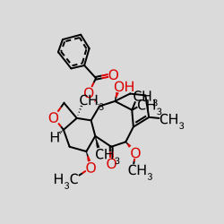 CO[C@H]1C(=O)[C@@]2(C)C([C@H](OC(=O)c3ccccc3)[C@]3(O)CCC(C)=C1C3(C)C)[C@]1(C)CO[C@@H]1C[C@@H]2OC